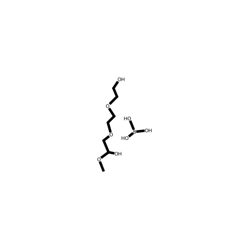 COC(O)COCCOCCO.OB(O)O